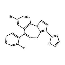 Clc1ccccc1C1=NCc2c(-c3ccco3)ncn2-c2ccc(Br)cc21